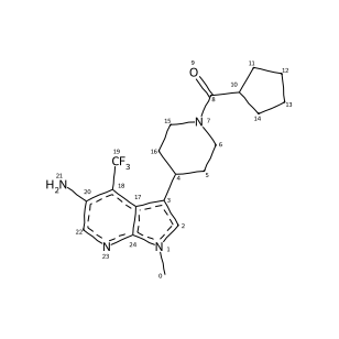 Cn1cc(C2CCN(C(=O)C3CCCC3)CC2)c2c(C(F)(F)F)c(N)cnc21